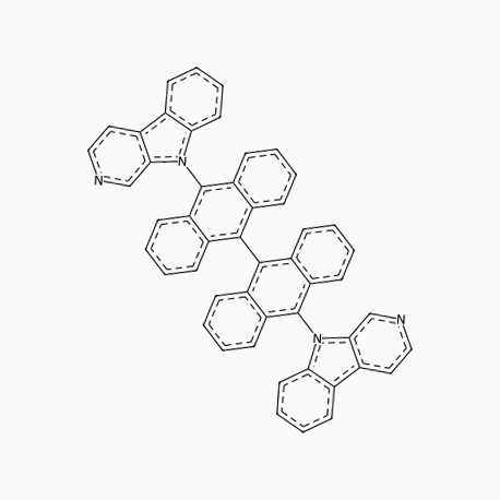 c1ccc2c(-n3c4ccccc4c4ccncc43)c3ccccc3c(-c3c4ccccc4c(-n4c5ccccc5c5ccncc54)c4ccccc34)c2c1